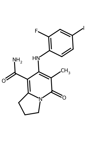 Cc1c(Nc2ccc(I)cc2F)c(C(N)=O)c2n(c1=O)CCC2